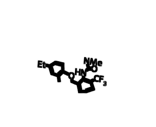 CCc1ccc(OCc2cccc(C(F)(F)F)c2NC(=O)NC)c(C)c1